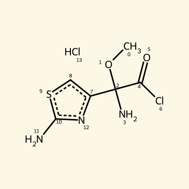 COC(N)(C(=O)Cl)c1csc(N)n1.Cl